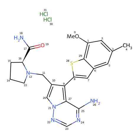 COc1cc(C)cc2cc(-c3c(CN4CCC[C@H]4C(N)=O)cn4ncnc(N)c34)sc12.Cl.Cl